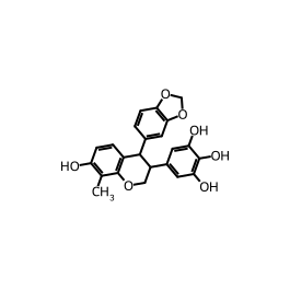 Cc1c(O)ccc2c1OCC(c1cc(O)c(O)c(O)c1)C2c1ccc2c(c1)OCO2